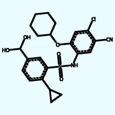 N#Cc1cc(NS(=O)(=O)c2cc(C(O)O)ccc2C2CC2)c(OC2CCCCC2)cc1Cl